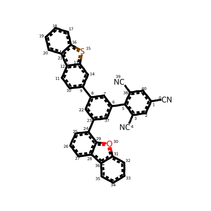 N#Cc1cc(C#N)c(-c2cc(-c3ccc4c(c3)sc3ccccc34)cc(-c3cccc4c3oc3ccccc34)c2)c(C#N)c1